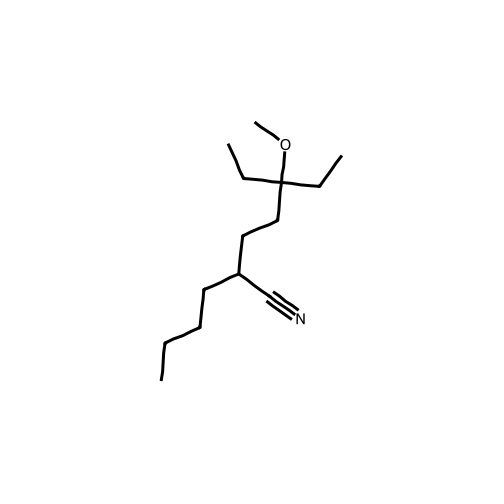 CCCCC(C#N)CCC(CC)(CC)OC